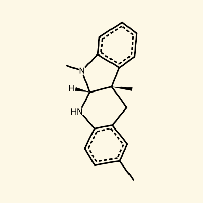 Cc1ccc2c(c1)C[C@@]1(C)c3ccccc3N(C)[C@H]1N2